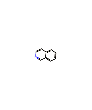 [c]1ccc2cnccc2c1